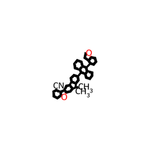 CC1(C)c2cc(-c3c4ccccc4c(-c4cccc5occc45)c4ccccc34)ccc2-c2cc3c(cc21)oc1cccc(C#N)c13